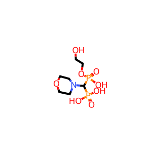 O=P(O)(O)C(N1CCOCC1)P(=O)(O)OCCO